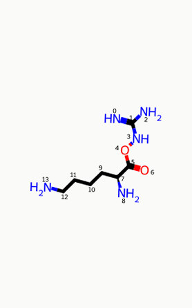 N=C(N)NOC(=O)[C@@H](N)CCCCN